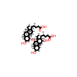 C[C@H](CCC(=O)O)[C@H]1CC[C@H]2[C@@H]3CC[C@@H]4C[C@H](O)CC[C@]4(C)[C@H]3CC[C@]12C.C[C@H](CCC(=O)O)[C@H]1CC[C@H]2[C@@H]3[C@H](O)C[C@@H]4C[C@H](O)CC[C@]4(C)[C@H]3C[C@H](O)[C@]12C